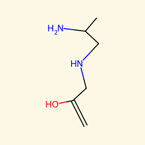 C=C(O)CNCC(C)N